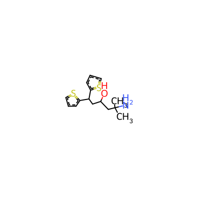 CC(C)(N)CC(O)CC(c1cccs1)c1cccs1